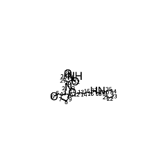 CN(Cc1c(C=O)cccc1OCCCCCCCNC1CCCCC1)C1CCONC1=O